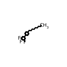 CCCCCCCCCc1ccc(-c2cc(F)c(F)c(F)c2)cc1